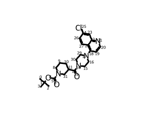 CC(C)(C)OC(=O)N1CCCC(C(=O)N2CCN(c3ccnc4cc(Cl)ccc34)CC2)C1